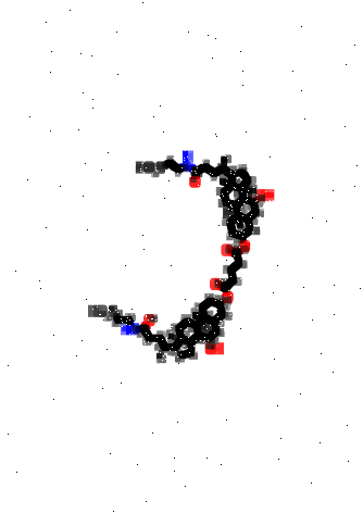 C[C@H](CCC(=O)NCCS(=O)(=O)O)[C@H]1CC[C@@H]2C3[C@@H](CC[C@@]21C)[C@@]1(C)CC[C@H](OC(=O)CCCC(=O)O[C@H]2CCC4(C)C(C2)C[C@H](O)C2C5CC[C@H]([C@H](C)CCC(=O)NCCS(=O)(=O)O)[C@@]5(C)CC[C@H]24)CC1C[C@@H]3O